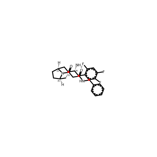 N[C@H](Cc1cc(F)c(F)cc1F)[C@@H]1C[C@H]2CC[C@@H](C1)N2C(=O)CC(=O)NCc1ccccc1